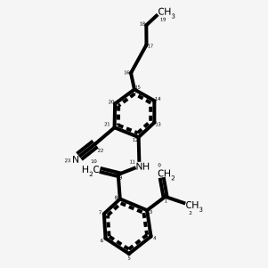 C=C(C)c1ccccc1C(=C)Nc1ccc(CCCC)cc1C#N